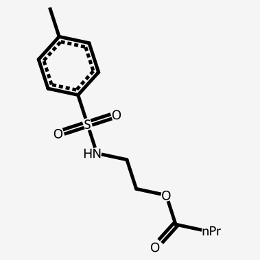 CCCC(=O)OCCNS(=O)(=O)c1ccc(C)cc1